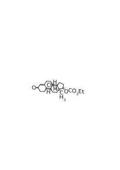 CCOC(=O)O[C@H]1CC[C@H]2[C@@H]3CCC4=CC(=O)CC[C@]4(C)[C@H]3CC[C@]12C